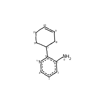 Nc1cccnc1C1CC=CCC1